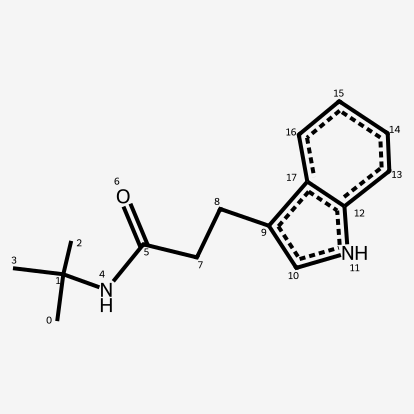 CC(C)(C)NC(=O)CCc1c[nH]c2ccccc12